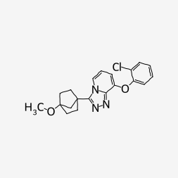 COC12CCC(c3nnc4c(Oc5ccccc5Cl)cccn34)(CC1)C2